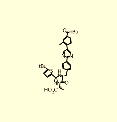 CCCCC(=O)c1ccc(-c2cnc(-c3ccc(C[C@H](NC(=O)c4ccc(C(C)(C)C)s4)C(=O)N[C@H](C)C(=O)O)cc3)nc2)c(C)c1